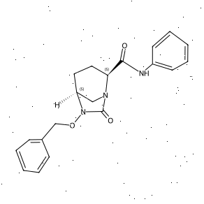 O=C(Nc1ccccc1)[C@@H]1CC[C@H]2CN1C(=O)N2OCc1ccccc1